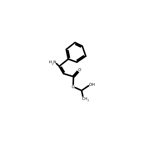 CC(O)OC(=O)/C=C(/N)c1ccccc1